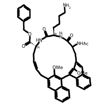 COc1c2cc3ccccc3c1-c1c(OC)c(cc3ccccc13)CC(NC(C)=O)C(=O)N[C@H](CCCCN)C(=O)N[C@@H](C(=O)OCc1ccccc1)CC=CC2